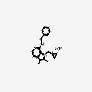 Cc1c(C)n(CC2CC2)c2c(NCc3ccccc3)nccc12.Cl